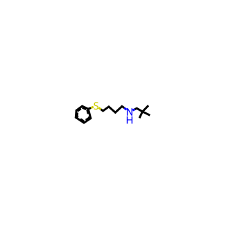 CC(C)(C)CNCCCCSc1ccccc1